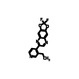 CCc1cnccc1-c1cnc2cc3c(cc2n1)OC(F)(F)O3